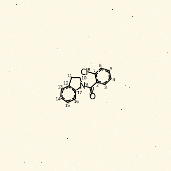 O=C(c1ccccc1Cl)N1CCc2ccccc21